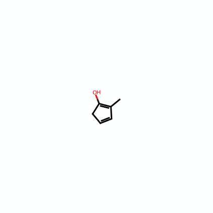 CC1=C(O)CC=C1